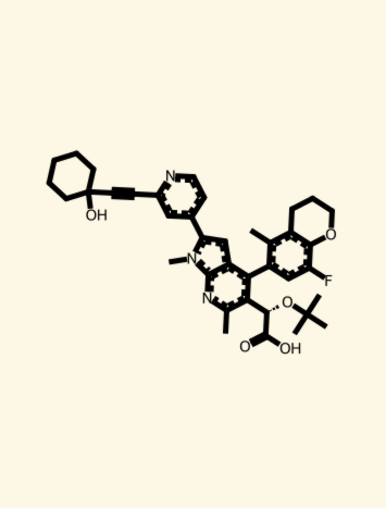 Cc1nc2c(cc(-c3ccnc(C#CC4(O)CCCCC4)c3)n2C)c(-c2cc(F)c3c(c2C)CCCO3)c1[C@H](OC(C)(C)C)C(=O)O